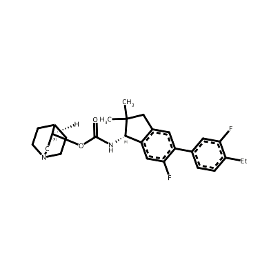 CCc1ccc(-c2cc3c(cc2F)[C@H](NC(=O)O[C@H]2CN4CCC2CC4)C(C)(C)C3)cc1F